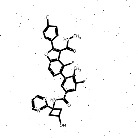 CNC(=O)c1c(-c2ccc(F)cc2)oc2ccc(-c3cc(C(=O)NC4(c5ncccn5)CC(O)C4)cc(F)c3C)c(F)c12